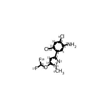 Cn1nc(-c2cc(N)c(Cl)cc2Cl)cc1OC(F)F